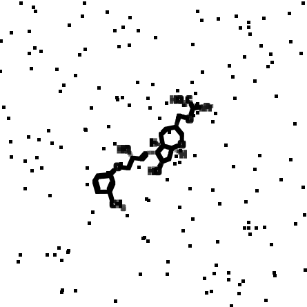 CCCC(OC[C@@H]1CC[C@@H]2[C@@H](/C=C/[C@@H](O)COc3cccc(C)c3)[C@H](O)C[C@@H]2OC1)C(=O)O